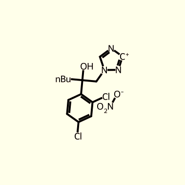 CCCCC(O)(CN1C=N[C+]=N1)c1ccc(Cl)cc1Cl.O=[N+]([O-])[O-]